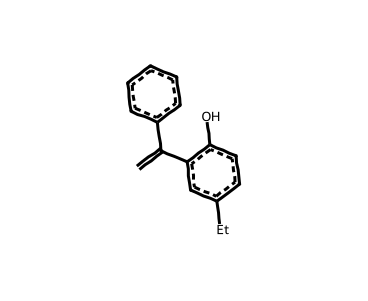 C=C(c1ccccc1)c1cc(CC)ccc1O